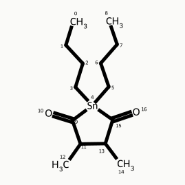 CCC[CH2][Sn]1([CH2]CCC)[C](=O)C(C)C(C)[C]1=O